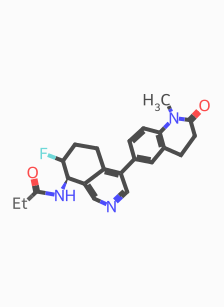 CCC(=O)N[C@@H]1c2cncc(-c3ccc4c(c3)CCC(=O)N4C)c2CCC1F